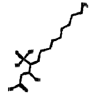 CCCCCCCCCCC(C(O)CC(=O)O)P(=O)(O)O